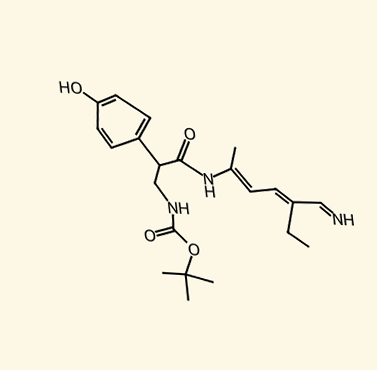 CC/C(C=N)=C\C=C(/C)NC(=O)C(CNC(=O)OC(C)(C)C)c1ccc(O)cc1